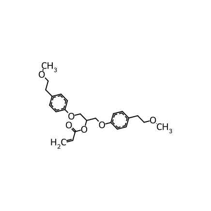 C=CC(=O)OC(COc1ccc(CCOC)cc1)COc1ccc(CCOC)cc1